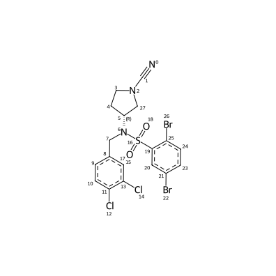 N#CN1CC[C@@H](N(Cc2ccc(Cl)c(Cl)c2)S(=O)(=O)c2cc(Br)ccc2Br)C1